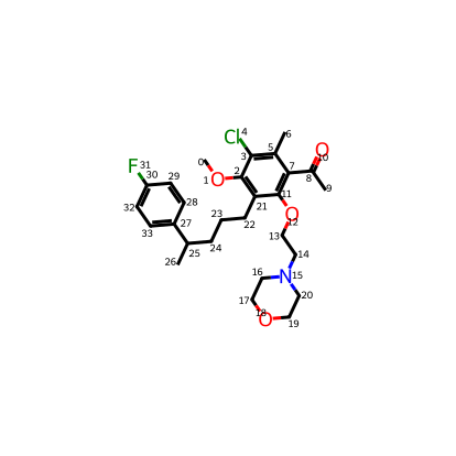 COc1c(Cl)c(C)c(C(C)=O)c(OCCN2CCOCC2)c1CCCC(C)c1ccc(F)cc1